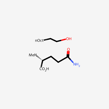 CCCCCCCCCCO.CN[C@H](CCC(N)=O)C(=O)O